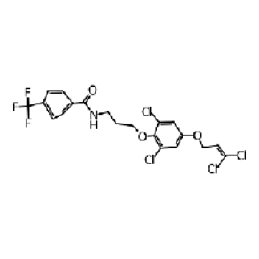 O=C(NCCCOc1c(Cl)cc(OCC=C(Cl)Cl)cc1Cl)c1ccc(C(F)(F)F)cc1